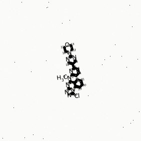 CN(c1cccc(-c2cnc(N3CCOCC3)nc2)n1)c1nc2nnc(Cl)n2c2ccccc12